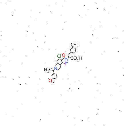 C=C(c1ccc2c(c1)OCC2)N1CCc2c(cc(Cl)c(C(=O)N[C@@H](Cc3cccc(C)c3)C(=O)O)c2I)C1